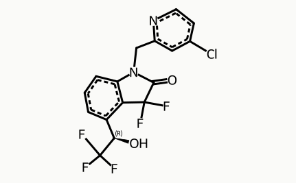 O=C1N(Cc2cc(Cl)ccn2)c2cccc([C@@H](O)C(F)(F)F)c2C1(F)F